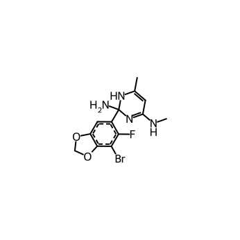 CNC1=NC(N)(c2cc3c(c(Br)c2F)OCO3)NC(C)=C1